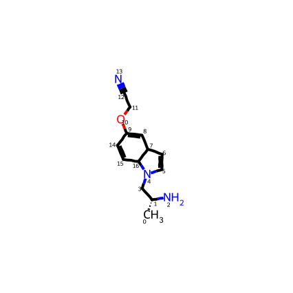 C[C@@H](N)CN1C=CC2C=C(OCC#N)C=CC21